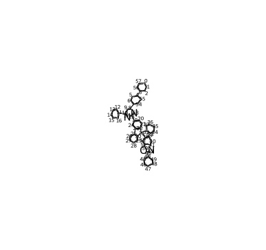 c1ccc(-c2ccc(-c3cc(-c4ccccc4)nc(-c4ccc5c(c4)-c4ccccc4C5(c4ccccc4)c4ccc5nc(-c6ccccc6)oc5c4)n3)cc2)cc1